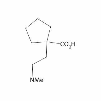 CNCCC1(C(=O)O)CCCC1